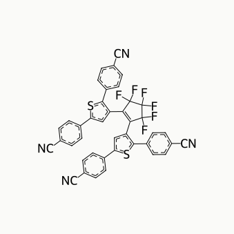 N#Cc1ccc(-c2cc(C3=C(c4cc(-c5ccc(C#N)cc5)sc4-c4ccc(C#N)cc4)C(F)(F)C(F)(F)C3(F)F)c(-c3ccc(C#N)cc3)s2)cc1